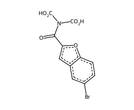 O=C(O)N(C(=O)O)C(=O)c1cc2cc(Br)ccc2o1